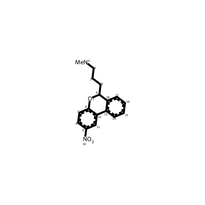 CNCCCC1Oc2ccc([N+](=O)[O-])cc2-c2ccccc21